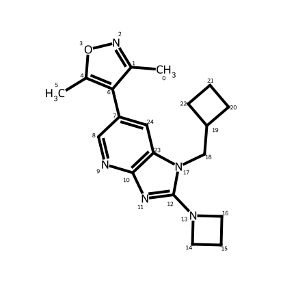 Cc1noc(C)c1-c1cnc2nc(N3CCC3)n(CC3CCC3)c2c1